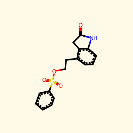 O=C1Cc2c(CCOS(=O)(=O)c3ccccc3)cccc2N1